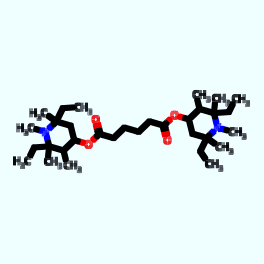 CCC1(C)CC(OC(=O)CCCCC(=O)OC2CC(C)(CC)N(C)C(C)(CC)C2C)C(C)C(C)(CC)N1C